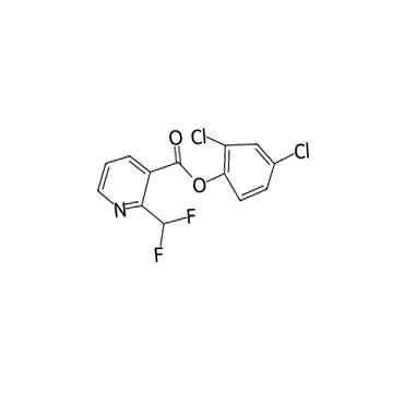 O=C(Oc1ccc(Cl)cc1Cl)c1cccnc1C(F)F